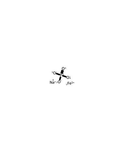 O=P([O-])([O-])[O-].[Fe+2].[Na+]